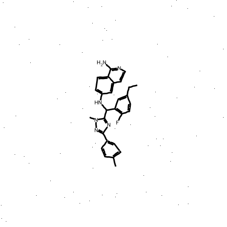 CCc1ccc(F)c(C(Nc2ccc3c(N)nccc3c2)c2nc(-c3ccc(C)cc3)nn2C)c1